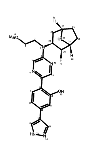 COCCN(c1cnc(-c2ccc(-c3cn[nH]c3)cc2O)cn1)[C@H]1C[C@@H]2CC[C@@H](N2)[C@H]1F